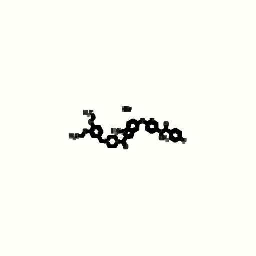 Br.CCOc1ccc(CN2CCN(C(=O)c3cc4cc(Oc5ccc(N(C)C(=O)c6ccc(F)cc6)cn5)ccc4n3C)CC2)cc1OCC